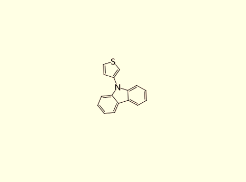 c1ccc2c(c1)c1ccccc1n2-c1ccsc1